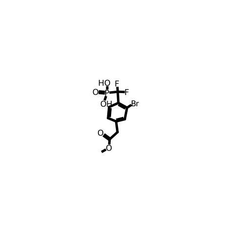 COC(=O)Cc1ccc(C(F)(F)P(=O)(O)O)c(Br)c1